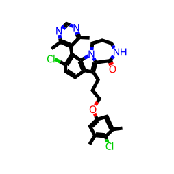 Cc1cc(OCCCc2c3n(c4c(-c5c(C)ncnc5C)c(Cl)ccc24)CCCNC3=O)cc(C)c1Cl